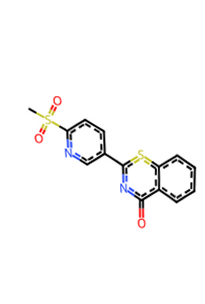 CS(=O)(=O)c1ccc(-c2nc(=O)c3ccccc3s2)cn1